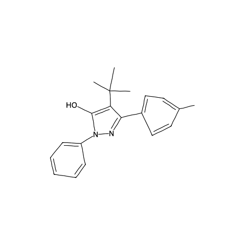 Cc1ccc(-c2nn(-c3ccccc3)c(O)c2C(C)(C)C)cc1